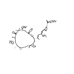 C=C(OC)O/C=C(N)/C=C(\C)[C@@H]1CC2OC2(C)CC2CC2[C@H](C)[C@H](O)[C@@H](C)C(=O)C(C)(C)[C@@H](O)CC(=O)O1